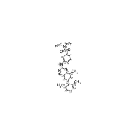 CCCN(CCC)S(=O)(=O)c1cccc(Nc2nnc3cc(-c4c(C)cccc4C)cc(C)c3n2)c1